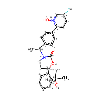 C[C@@H](c1ccc(-c2ccc(F)c[n+]2O)cc1)N1CC[C@](CC(C)(C)O)(c2ccccc2)OC1=O